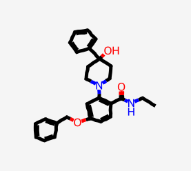 CCNC(=O)c1ccc(OCc2ccccc2)cc1N1CCC(O)(c2ccccc2)CC1